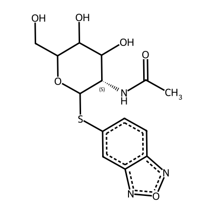 CC(=O)N[C@@H]1C(Sc2ccc3nonc3c2)OC(CO)C(O)C1O